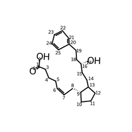 O=C(O)CCC/C=C\C[C@H]1CCCC1CC[C@@H](O)CCc1ccccc1